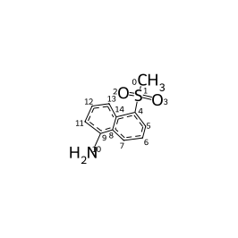 CS(=O)(=O)c1cccc2c(N)cccc12